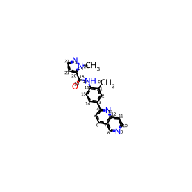 Cc1cc(-c2ccc3cnccc3n2)ccc1NC(=O)c1ccnn1C